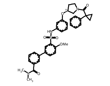 COc1ccc(-c2cccc(C(=O)N(C)C)c2)cc1S(=O)(=O)Nc1cccc(O[C@H]2CCN(C(=O)C3(c4ccccc4)CC3)C2)c1